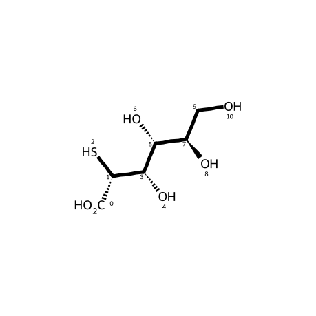 O=C(O)[C@H](S)[C@@H](O)[C@H](O)[C@H](O)CO